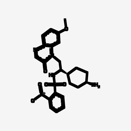 COc1ccc2ncc(=O)n(CC(NS(=O)(=O)c3ccccc3[N+](=O)[O-])[C@H]3CC[C@H](N)CC3)c2c1